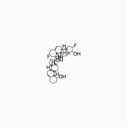 C[C@]12CC[C@@H]3[C@@H](CC=C4CCCC(O)[C@@]43C)[C@@H]1CC(F)C2(O)C1(O)CCCC2=CC[C@@H]3[C@@H](CC[C@]4(C)C(O)C(F)C[C@@H]34)[C@]21C